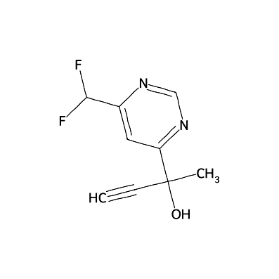 C#CC(C)(O)c1cc(C(F)F)ncn1